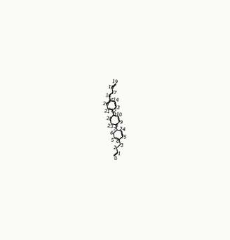 C=CCCC1=CCC(C2C=CC(c3ccc(CCC=C)cc3)CC2)C=C1